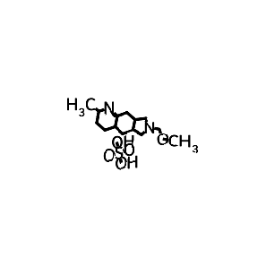 COCN1CC2CC3=NC(C)CCC3CC2C1.O=S(=O)(O)O